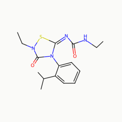 CCNC(=O)/N=c1/sn(CC)c(=O)n1-c1ccccc1C(C)C